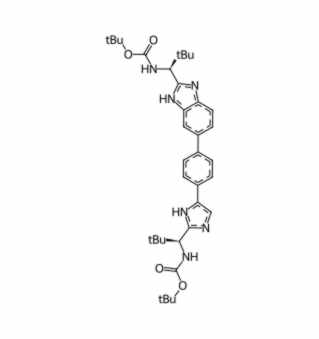 CC(C)(C)OC(=O)N[C@H](c1ncc(-c2ccc(-c3ccc4nc([C@@H](NC(=O)OC(C)(C)C)C(C)(C)C)[nH]c4c3)cc2)[nH]1)C(C)(C)C